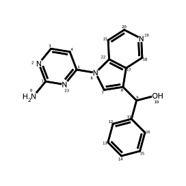 Nc1nccc(-n2cc(C(O)c3ccccc3)c3cnccc32)n1